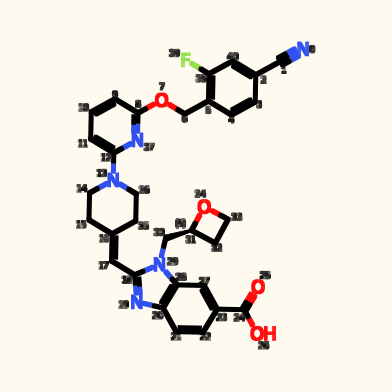 N#Cc1ccc(COc2cccc(N3CCC(=Cc4nc5ccc(C(=O)O)cc5n4C[C@@H]4CCO4)CC3)n2)c(F)c1